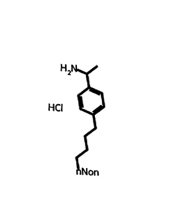 CCCCCCCCCCCCCc1ccc(C(C)N)cc1.Cl